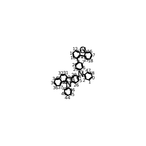 c1ccc(N(c2ccc(-c3cccc4oc5ccccc5c34)cc2)c2ccc3c(c2)c2ccc4ccccc4c2n3-c2ccccc2)cc1